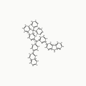 c1ccc(C2(c3ccccc3)c3ccccc3-c3ccc(N(c4ccc(-c5ccc6ccccc6c5)cc4)c4cccc(-c5ccc6sc7ccccc7c6c5)c4)cc32)cc1